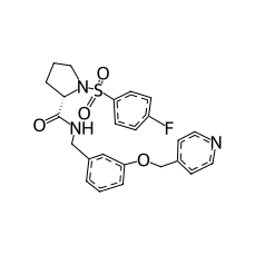 O=C(NCc1cccc(OCc2ccncc2)c1)[C@@H]1CCCN1S(=O)(=O)c1ccc(F)cc1